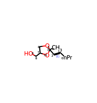 CCC/C=C/C1(C)OCC(CO)O1